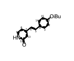 CC(C)COc1ccc(C=Cc2cc[nH]c(=O)c2)cc1